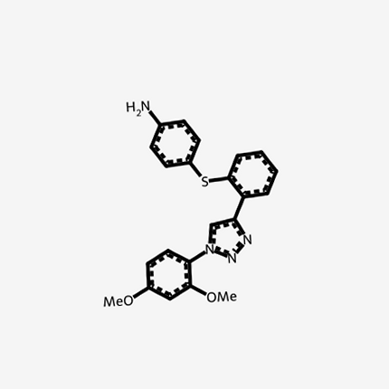 COc1ccc(-n2cc(-c3ccccc3Sc3ccc(N)cc3)nn2)c(OC)c1